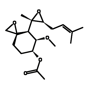 CO[C@@H]1[C@H](OC(C)=O)CC[C@]2(CO2)[C@H]1[C@@]1(C)O[C@@H]1CC=C(C)C